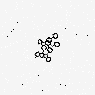 c1ccc(-c2ccc(-n3c4ccccc4c4cc(-c5c6ccccc6cc6c7ccccc7n(-c7ccc8c(c7)c7ccccc7n8-c7ccccc7)c56)ccc43)cc2)cc1